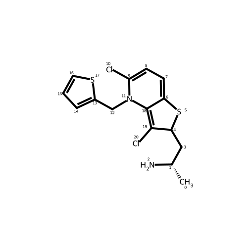 C[C@H](N)CC1SC2=CC=C(Cl)N(Cc3cccs3)C2=C1Cl